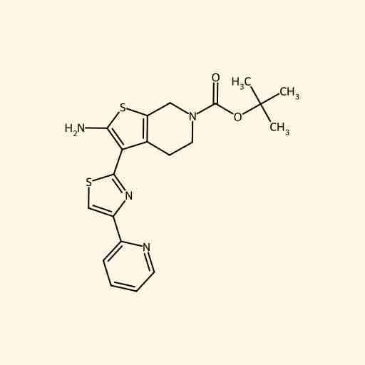 CC(C)(C)OC(=O)N1CCc2c(sc(N)c2-c2nc(-c3ccccn3)cs2)C1